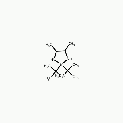 CC1[NH][Sn]([C](C)(C)C)([C](C)(C)C)[NH]C1C